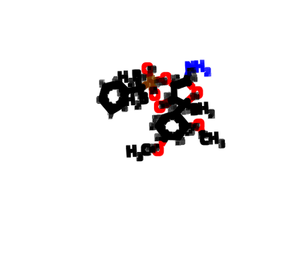 BC(B)(c1ccccc1)S(=O)(=O)OC1=C(N)O[C@](B)(c2ccc(OC)cc2OC)C1=O